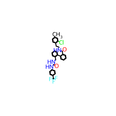 Cc1ccc(CCNC(=O)c2ccccc2-c2ccccc2CNC(=O)Nc2ccc(C(F)(F)F)cc2)c(Cl)c1